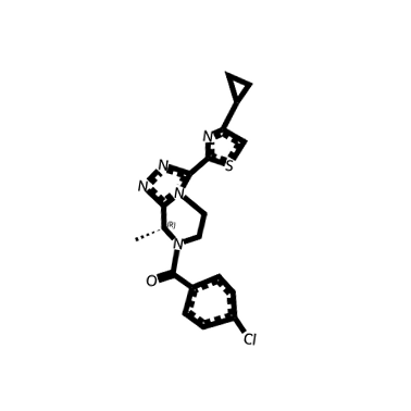 C[C@@H]1c2nnc(-c3nc(C4CC4)cs3)n2CCN1C(=O)c1ccc(Cl)cc1